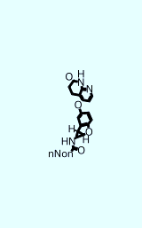 CCCCCCCCCC(=O)N[C@@H]1[C@H]2Oc3ccc(Oc4ccnc5c4CCC(=O)N5)cc3[C@@H]12